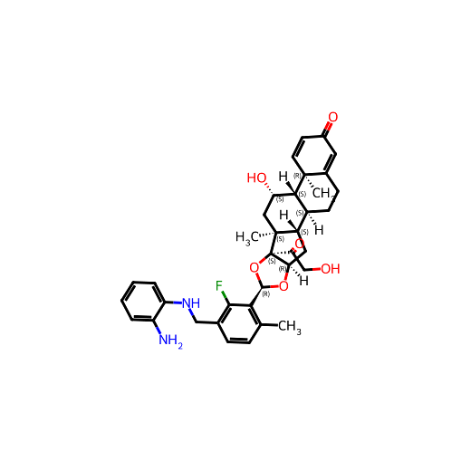 Cc1ccc(CNc2ccccc2N)c(F)c1[C@@H]1O[C@@H]2C[C@H]3[C@@H]4CCC5=CC(=O)C=C[C@]5(C)[C@H]4[C@@H](O)C[C@]3(C)[C@]2(C(=O)CO)O1